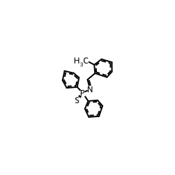 Cc1ccccc1/C=N/P(=S)(c1ccccc1)c1ccccc1